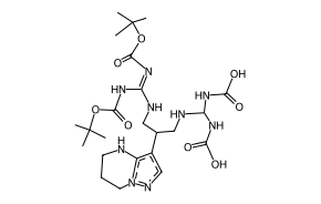 CC(C)(C)OC(=O)/N=C(/NCC(CNC(NC(=O)O)NC(=O)O)c1cnn2c1NCCC2)NC(=O)OC(C)(C)C